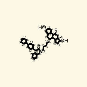 C[C@]12C[C@H](F)C3c4ccc(O)cc4C[C@@H](CCCCCN(Cc4ccccc4)C(=O)Cc4ccc(-c5ccccc5)cc4)C3C1CC[C@@H]2O